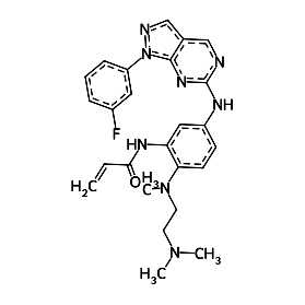 C=CC(=O)Nc1cc(Nc2ncc3cnn(-c4cccc(F)c4)c3n2)ccc1N(C)CCN(C)C